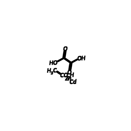 CC(=O)O.O=C(O)C(=O)O.[Cd].[Zn]